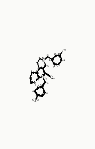 O=c1c2c(c3cccnc3n1Cc1ccc(Cl)cc1)CCN(Cc1cccc(F)c1)C2